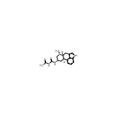 CC(=O)NC(=S)N[C@@H]1C[C@@H]2c3cccc4[nH]cc(c34)C[C@H]2N(C)C1